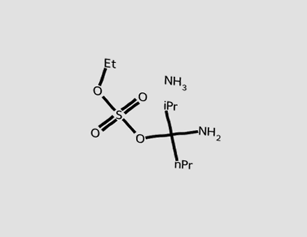 CCCC(N)(OS(=O)(=O)OCC)C(C)C.N